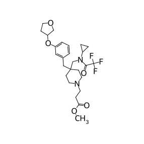 COC(=O)CCN1CCC(Cc2cccc(OC3CCOC3)c2)(CN(C(=O)C(F)(F)F)C2CC2)CC1